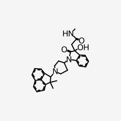 CNC(=O)CC1(O)C(=O)N(C2CCN(C3c4cccc5cccc(c45)C3(C)C)CC2)c2ccccc21